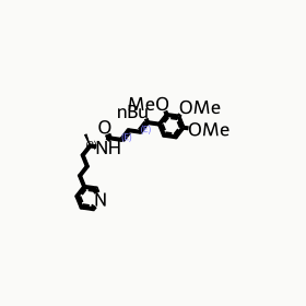 CCCC/C(=C\C=C\C(=O)N[C@H](C)CCCc1cccnc1)c1ccc(OC)c(OC)c1OC